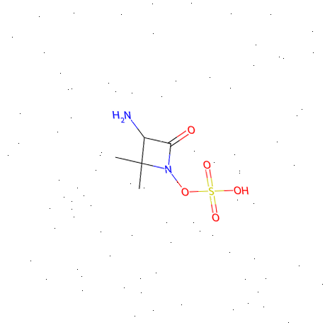 CC1(C)C(N)C(=O)N1OS(=O)(=O)O